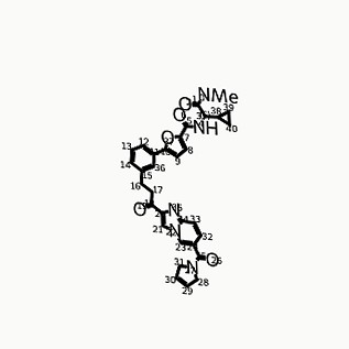 CNC(=O)[C@@H](NC(=O)c1ccc(-c2cccc(CCC(=O)c3cn4cc(C(=O)N5CC=CC5)ccc4n3)c2)o1)C1CC1